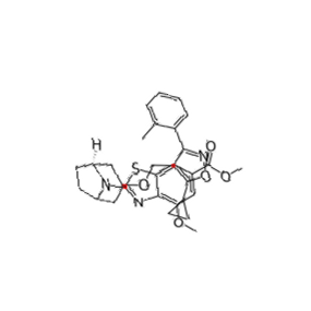 COC(=O)c1cc(OC)c2nc(N3C4CC[C@H]3CC(OCc3c(-c5ccccc5C)noc3C3CC3)C4)sc2c1